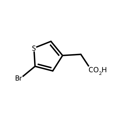 O=C(O)Cc1csc(Br)c1